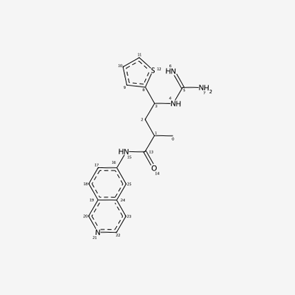 CC(CC(NC(=N)N)c1cccs1)C(=O)Nc1ccc2cnccc2c1